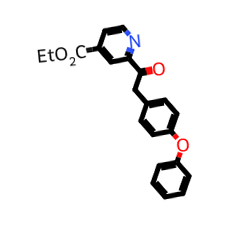 CCOC(=O)c1ccnc(C(=O)Cc2ccc(Oc3ccccc3)cc2)c1